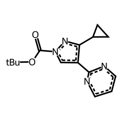 CC(C)(C)OC(=O)n1cc(-c2ncccn2)c(C2CC2)n1